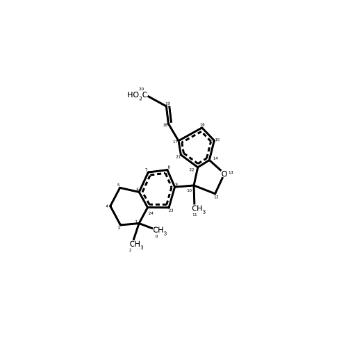 CC1(C)CCCc2ccc(C3(C)COc4ccc(C=CC(=O)O)cc43)cc21